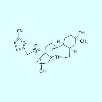 C[C@@]1(O)CC[C@H]2[C@H](CC[C@@H]3[C@@H]2CC[C@@]2(C)[C@H]3C[C@]3(O)C[C@]32C(=O)Cn2ccc(C#N)n2)C1